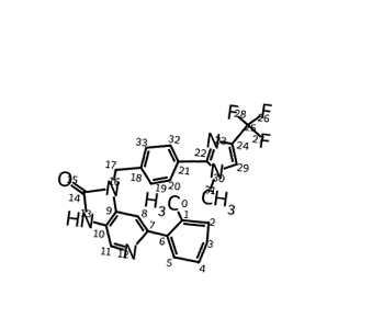 Cc1ccccc1-c1cc2c(cn1)[nH]c(=O)n2Cc1ccc(-c2nc(C(F)(F)F)cn2C)cc1